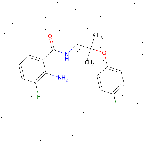 CC(C)(CNC(=O)c1cccc(F)c1N)Oc1ccc(F)cc1